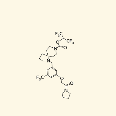 O=C(COc1cc(CN2CCCC23CCN(C(=O)OC(C(F)(F)F)C(F)(F)F)CC3)cc(C(F)(F)F)c1)N1CCCC1